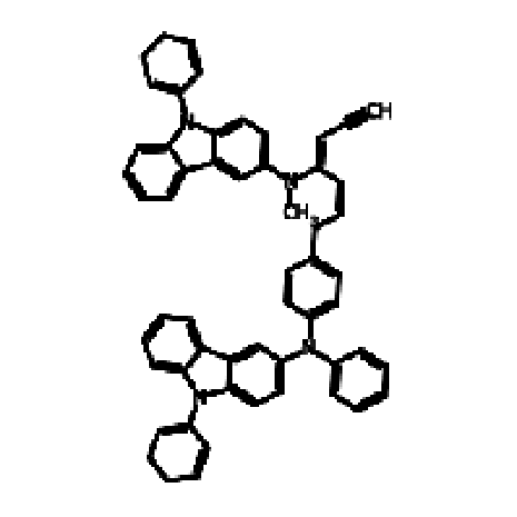 C#C/C=C(\C=C/Cc1ccc(N(c2ccccc2)c2ccc3c(c2)c2ccccc2n3C2=CCCC=C2)cc1)N(C)c1ccc2c(c1)c1ccccc1n2C1=CCCC=C1